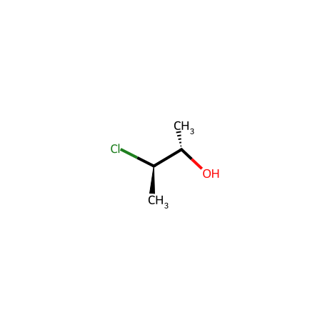 C[C@H](O)[C@@H](C)Cl